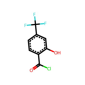 O=C(Cl)c1ccc(C(F)(F)F)cc1O